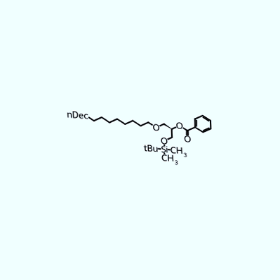 CCCCCCCCCCCCCCCCCCOC[C@H](CO[Si](C)(C)C(C)(C)C)OC(=O)c1ccccc1